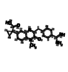 Cn1c(=O)c(Cc2ccc(C(=N)N)cc2)nc2cc(C3(C(=O)O)CC3)ccc21